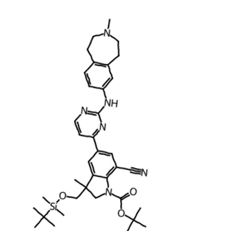 CN1CCc2ccc(Nc3nccc(-c4cc(C#N)c5c(c4)C(C)(CO[Si](C)(C)C(C)(C)C)CN5C(=O)OC(C)(C)C)n3)cc2CC1